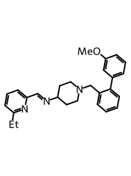 CCc1cccc(C=NC2CCN(Cc3ccccc3-c3cccc(OC)c3)CC2)n1